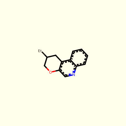 CCC1COc2cnc3ccccc3c2C1